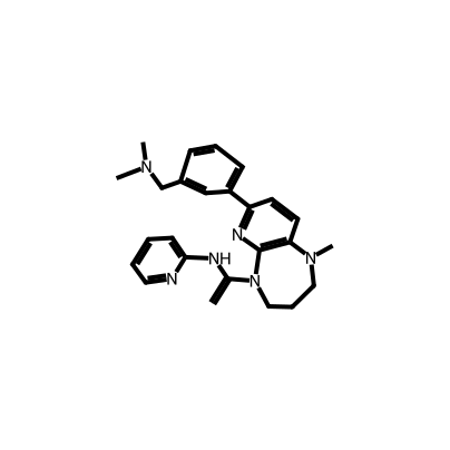 C=C(Nc1ccccn1)N1CCCN(C)c2ccc(-c3cccc(CN(C)C)c3)nc21